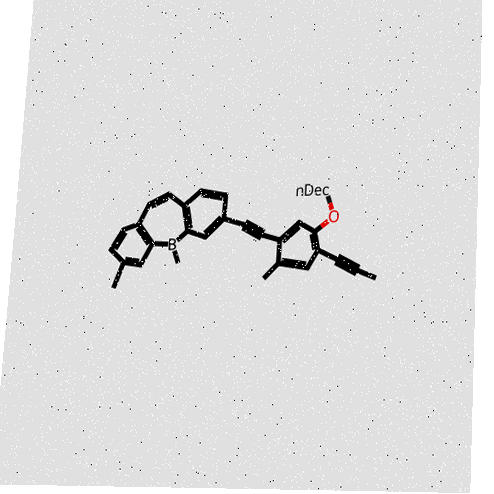 CC#Cc1cc(C)c(C#Cc2ccc3c(c2)B(C)c2cc(C)ccc2C=C3)cc1OCCCCCCCCCC